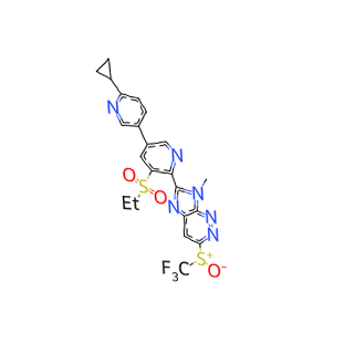 CCS(=O)(=O)c1cc(-c2ccc(C3CC3)nc2)cnc1-c1nc2cc([S+]([O-])C(F)(F)F)nnc2n1C